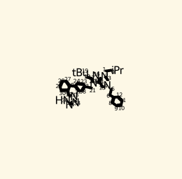 CC(C)CN1CN(CCc2ccccc2)Cc2c1nc(CC(C)(C)C)n2Cc1ccc(-c2ccccc2-c2nnn[nH]2)cc1